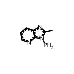 Cc1nc2cccnc2n1P